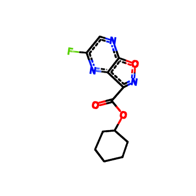 O=C(OC1CCCCC1)c1noc2ncc(F)nc12